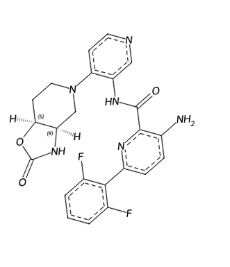 Nc1ccc(-c2c(F)cccc2F)nc1C(=O)Nc1cnccc1N1CC[C@@H]2OC(=O)N[C@@H]2C1